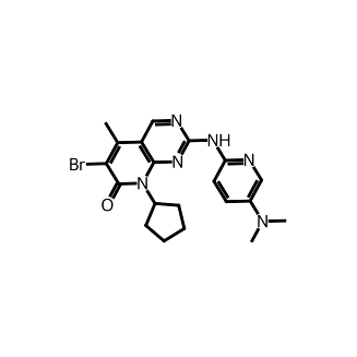 Cc1c(Br)c(=O)n(C2CCCC2)c2nc(Nc3ccc(N(C)C)cn3)ncc12